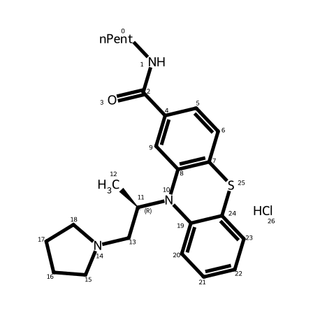 CCCCCNC(=O)c1ccc2c(c1)N([C@H](C)CN1CCCC1)c1ccccc1S2.Cl